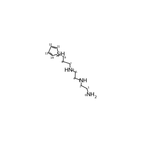 NCCNCCNCCC[SiH]1C=CC=C1